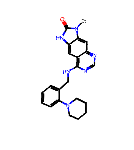 CCn1c(=O)[nH]c2cc3c(NCc4ccccc4N4CCCCC4)ncnc3cc21